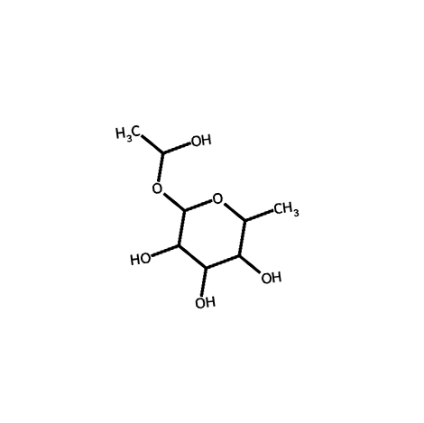 CC(O)OC1OC(C)C(O)C(O)C1O